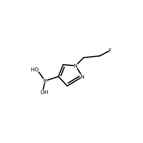 OB(O)c1cnn(CCF)c1